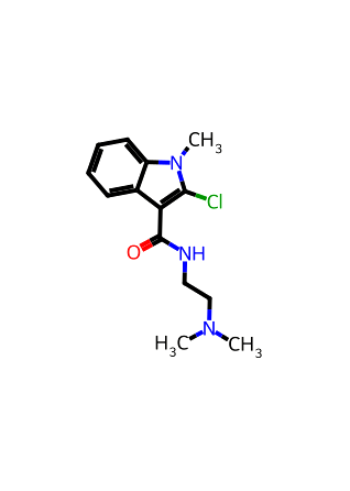 CN(C)CCNC(=O)c1c(Cl)n(C)c2ccccc12